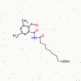 CCCCCCCCCCCCCCCCCC(=O)NC(=O)c1cc(C)cc(C)c1I=O